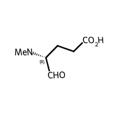 CN[C@@H](C=O)CCC(=O)O